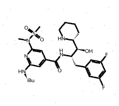 CC[C@H](C)Nc1cc(C(=O)N[C@@H](Cc2cc(F)cc(F)c2)[C@H](O)[C@H]2CCCCN2)cc(N(C)S(C)(=O)=O)n1